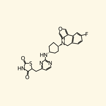 O=C1NC(=O)C(Cc2ccnc(N[C@H]3CC[C@H](NCc4ccc(F)cc4-c4ccoc4)CC3)n2)S1